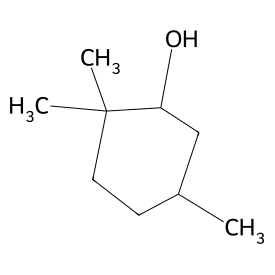 CC1CCC(C)(C)C(O)C1